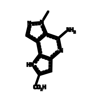 Cn1ncc2c3[nH]c(C(=O)O)cc3nc(N)c21